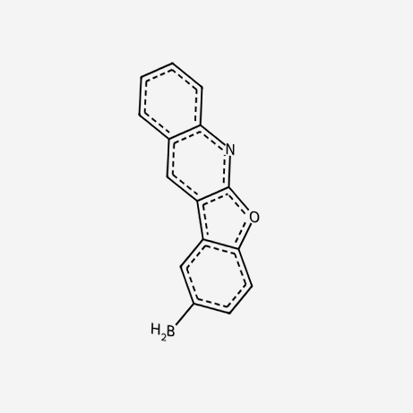 Bc1ccc2oc3nc4ccccc4cc3c2c1